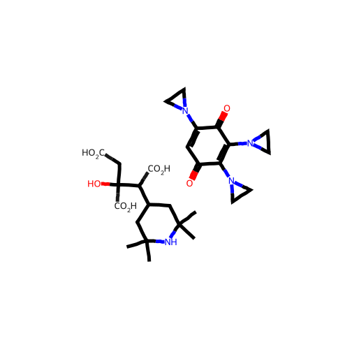 CC1(C)CC(C(C(=O)O)C(O)(CC(=O)O)C(=O)O)CC(C)(C)N1.O=C1C=C(N2CC2)C(=O)C(N2CC2)=C1N1CC1